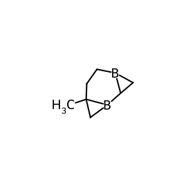 CC12CCB3CC3B1C2